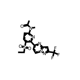 CCS(=O)(=O)c1ccc(N(C)C(C)=O)nc1-c1ccn2nc(C(F)(F)F)cc2n1